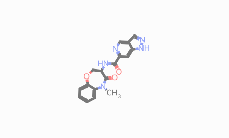 CN1C(=O)C(NC(=O)c2cc3[nH]ncc3cn2)COc2ccccc21